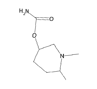 CC1CCC(OC(N)=O)CN1C